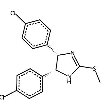 CSC1=N[C@@H](c2ccc(Cl)cc2)[C@@H](c2ccc(Cl)cc2)N1